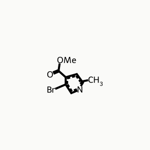 COC(=O)c1cc(C)ncc1Br